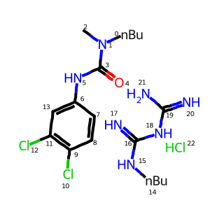 CCCCN(C)C(=O)Nc1ccc(Cl)c(Cl)c1.CCCCNC(=N)NC(=N)N.Cl